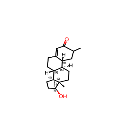 CC1C[C@H]2C(=CC1=O)CC[C@@H]1[C@@H]2CC[C@]2(C)[C@@H](O)CC[C@@H]12